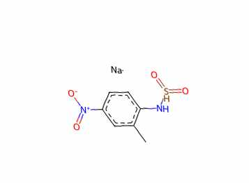 Cc1cc([N+](=O)[O-])ccc1N[SH](=O)=O.[Na]